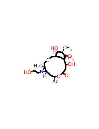 CC(=O)[C@@H]1C[C@@H]2N(CCO)[C@]2(C)CCC[C@@H]2C[C@@](C)(C(=O)[C@H](C)[C@H]2O)[C@@H](O)CC(=O)O1